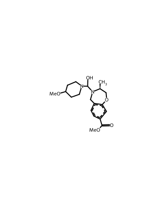 COC(=O)c1ccc2c(c1)OC[C@H](C)N(C(O)N1CCC(OC)CC1)C2